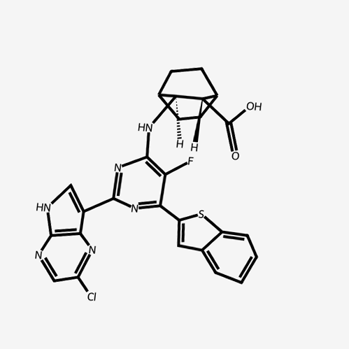 O=C(O)[C@H]1C2CCC(CC2)[C@@H]1Nc1nc(-c2c[nH]c3ncc(Cl)nc23)nc(-c2cc3ccccc3s2)c1F